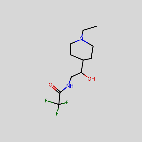 CCN1CCC(C(O)CNC(=O)C(F)(F)F)CC1